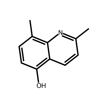 Cc1ccc2c(O)ccc(C)c2n1